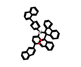 c1ccc2cc(-c3ccc(N(c4ccc(-c5cccc6ccccc56)cc4)c4c(-c5cccc6ccccc56)c5ccccc5c5ccccc45)cc3)ccc2c1